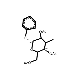 CC(=O)OCC1O[C@H](Oc2ccccc2)C(OC(C)=O)C(C)[C@H]1OC(C)=O